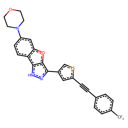 FC(F)(F)c1ccc(C#Cc2cc(-c3n[nH]c4c3oc3cc(N5CCOCC5)ccc34)cs2)cc1